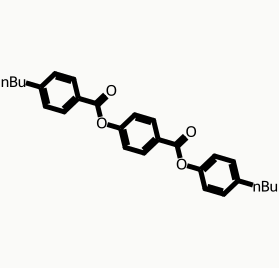 CCCCc1ccc(OC(=O)c2ccc(OC(=O)c3ccc(CCCC)cc3)cc2)cc1